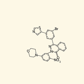 O=c1c2ccccc2c(-c2cc(Br)cc(-c3cncs3)c2)nn1-c1cc(N2CCOCC2)ccc1[N+](=O)[O-]